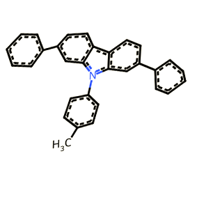 Cc1ccc(-n2c3cc(-c4ccccc4)ccc3c3ccc(-c4ccccc4)cc32)cc1